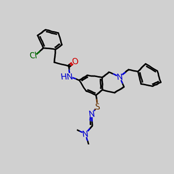 CN(C)/C=N/Sc1cc(NC(=O)Cc2ccccc2Cl)cc2c1CCN(Cc1ccccc1)C2